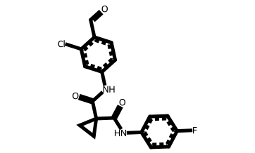 O=Cc1ccc(NC(=O)C2(C(=O)Nc3ccc(F)cc3)CC2)cc1Cl